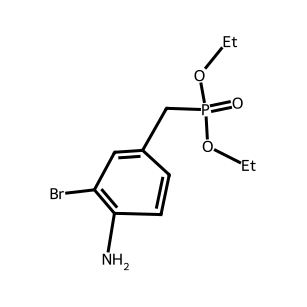 CCOP(=O)(Cc1ccc(N)c(Br)c1)OCC